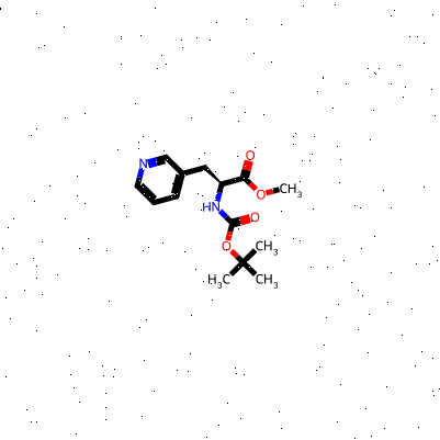 COC(=O)[C@H](Cc1cccnc1)NC(=O)OC(C)(C)C